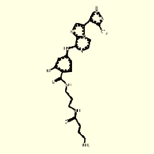 CCc1cc(Nc2nccn3c(-c4c[nH]nc4C(F)(F)F)cnc23)ccc1C(=O)NCCCNC(=O)CCCN